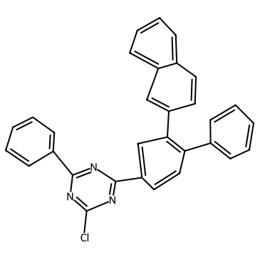 Clc1nc(-c2ccccc2)nc(-c2ccc(-c3ccccc3)c(-c3ccc4ccccc4c3)c2)n1